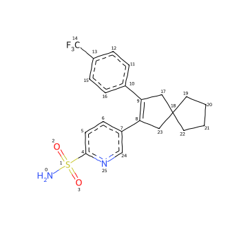 NS(=O)(=O)c1ccc(C2=C(c3ccc(C(F)(F)F)cc3)CC3(CCCC3)C2)cn1